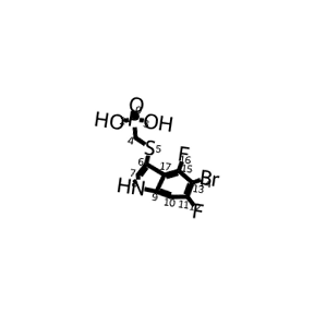 O=P(O)(O)CSc1c[nH]c2cc(F)c(Br)c(F)c12